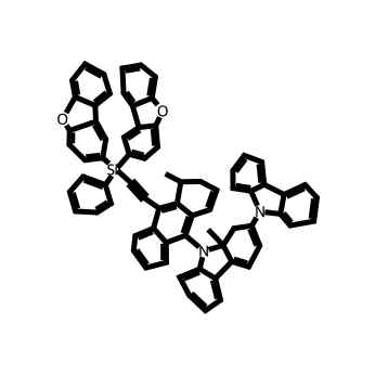 CC1CC=Cc2c1c(C#C[Si](c1ccccc1)(c1ccc3oc4ccccc4c3c1)c1ccc3oc4ccccc4c3c1)c1ccccc1c2N1c2ccccc2C2=CC=C(n3c4ccccc4c4ccccc43)CC21C